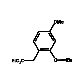 CCOC(=O)Cc1ccc(OC)cc1OC(C)CC